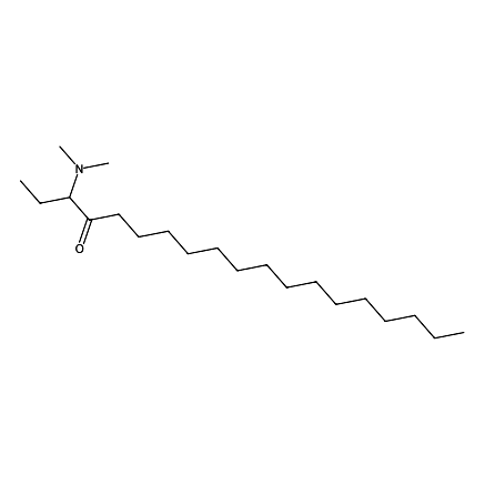 CCCCCCCCCCCCCCCC(=O)C(CC)N(C)C